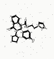 O=C(NCCn1ccnn1)[C@@H]1c2ccccc2C(=O)N(C2CCCC2)[C@H]1c1ccc(Cl)cc1